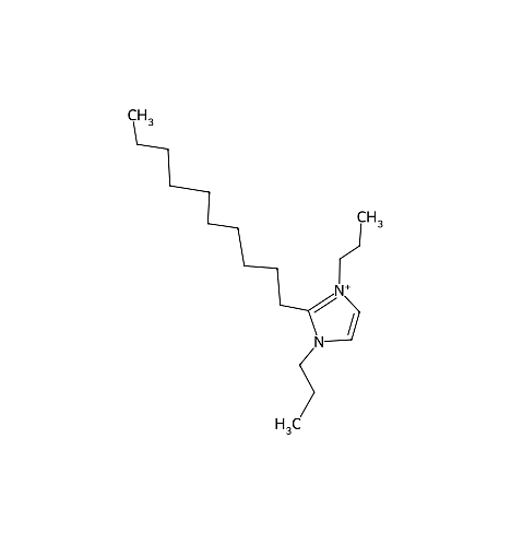 CCCCCCCCCCc1n(CCC)cc[n+]1CCC